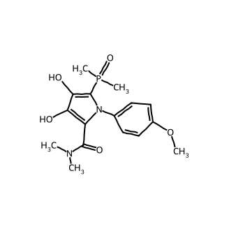 COc1ccc(-n2c(C(=O)N(C)C)c(O)c(O)c2P(C)(C)=O)cc1